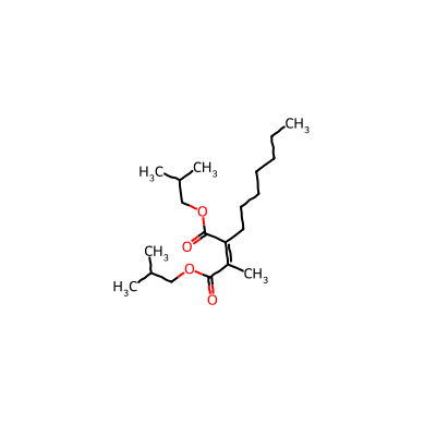 CCCCCCC/C(C(=O)OCC(C)C)=C(\C)C(=O)OCC(C)C